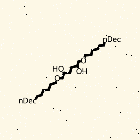 CCCCCCCCCCCCCCCCOCC(O)[CH]CC(O)COCCCCCCCCCCCCCCCC